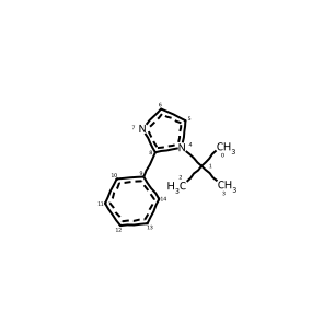 CC(C)(C)n1ccnc1-c1ccccc1